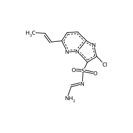 CC=Cc1ccc2nc(Cl)c(S(=O)(=O)/N=C/N)n2n1